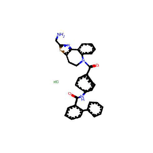 Cl.NCc1nc2c(s1)CCN(C(=O)c1ccc(NC(=O)c3ccccc3-c3ccccc3)cc1)c1ccccc1-2